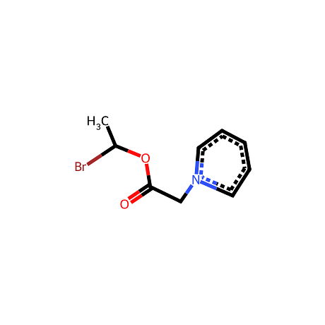 CC(Br)OC(=O)C[n+]1ccccc1